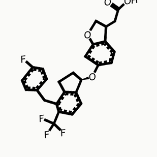 O=C(O)CC1COc2cc(O[C@@H]3CCc4c3ccc(C(F)(F)F)c4Cc3ccc(F)cc3)ccc21